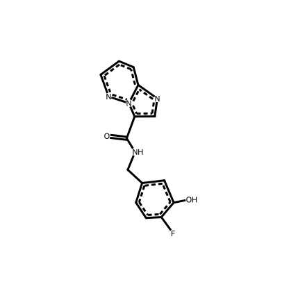 O=C(NCc1ccc(F)c(O)c1)c1cnc2cccnn12